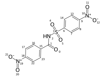 O=C(NS(=O)(=O)c1ccc([N+](=O)[O-])cc1)c1ccc([N+](=O)[O-])cc1